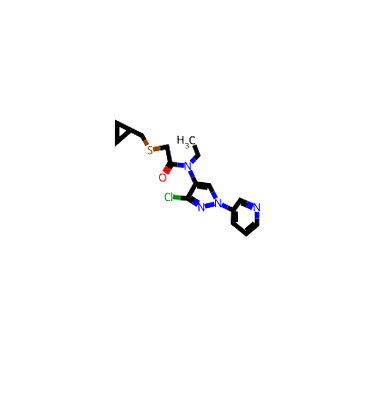 CCN(C(=O)CSCC1CC1)c1cn(-c2cccnc2)nc1Cl